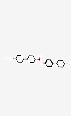 CCCCC[C@H]1CC[C@H]([C@H]2CC[C@H](C(=O)Oc3ccc([C@H]4CC[C@H](CCC)CC4)cc3)CC2)CC1